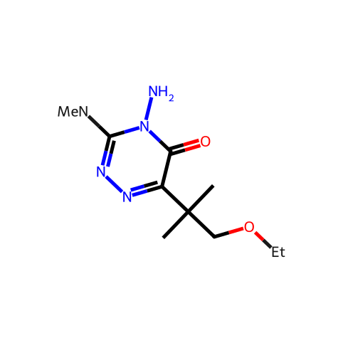 CCOCC(C)(C)c1nnc(NC)n(N)c1=O